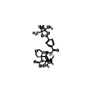 CC(C)(C)N(C(=O)O)C1(C(=O)N[C@@H](CN)C(=O)c2ccc(B3OC(C)(C)C(C)(C)O3)cc2)CCOCC1